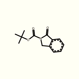 CC(C)(C)OC(=O)N1Cc2ccccc2C1=O